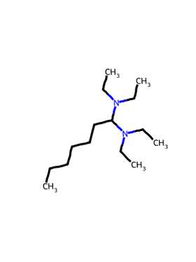 CCCCCCC(N(CC)CC)N(CC)CC